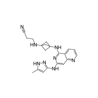 Cc1cc(Nc2cc3ncccc3c(NC34CC(NCCC#N)(C3)C4)n2)n[nH]1